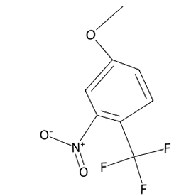 COc1ccc(C(F)(F)F)c([N+](=O)[O-])c1